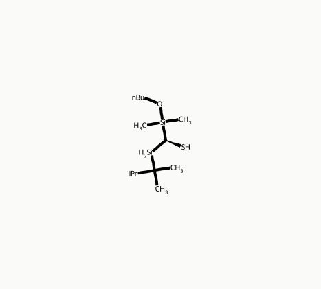 CCCCO[Si](C)(C)[C@@H](S)[SiH2]C(C)(C)C(C)C